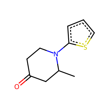 CC1CC(=O)CCN1c1cccs1